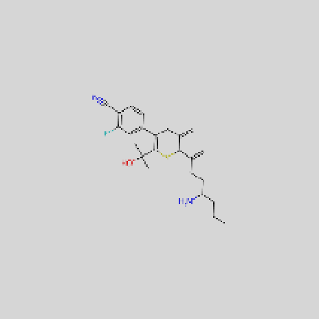 C=C(CCC(N)CCC)C1SC(C(C)(C)O)=C(c2ccc(C#N)c(F)c2)CC1=C